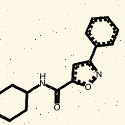 O=C(NC1CCCCC1)c1cc(-c2ccccc2)no1